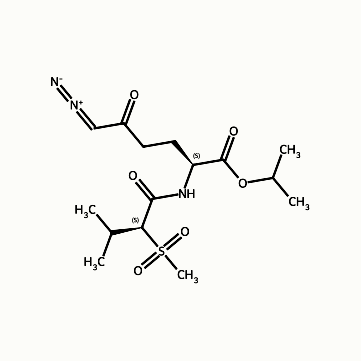 CC(C)OC(=O)[C@H](CCC(=O)C=[N+]=[N-])NC(=O)[C@H](C(C)C)S(C)(=O)=O